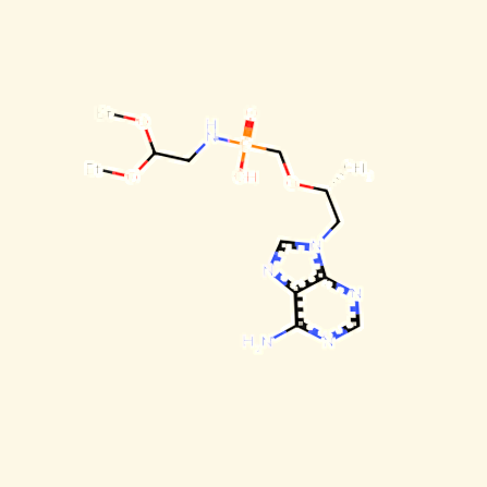 CCOC(CNP(=O)(O)CO[C@H](C)Cn1cnc2c(N)ncnc21)OCC